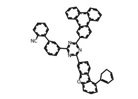 N#Cc1ccccc1-c1cccc(-c2nc(-c3ccc4c(c3)oc3cccc(C5=CC=CCC5)c34)nc(-c3ccc4c5ccccc5c5ccccc5c4c3)n2)c1